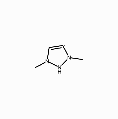 CN1[C]=CN(C)N1